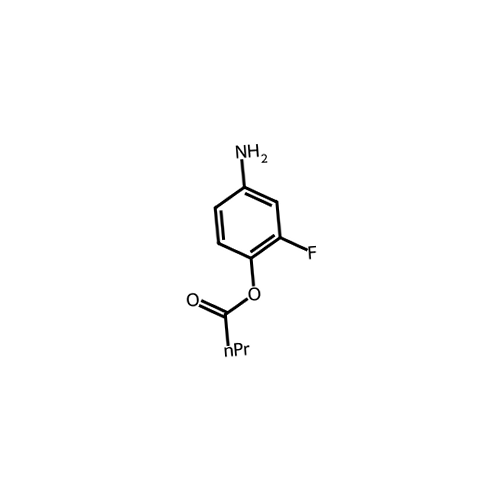 CCCC(=O)Oc1ccc(N)cc1F